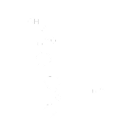 C=C(C)C(=O)Oc1ccc(-c2ccc(OC(=O)C(=C)CO)cc2)cc1C1CCC(CCC)CC1